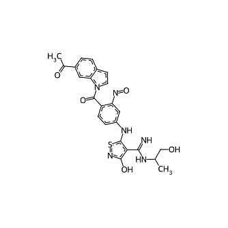 CC(=O)c1ccc2ccn(C(=O)c3ccc(Nc4snc(O)c4C(=N)NC(C)CO)cc3N=O)c2c1